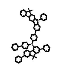 CC1(C)c2ccccc2-c2cc3c4cc(-c5ccc(N(c6ccc(-c7ccccc7)cc6)c6cc(-c7ccccc7)cc7c6-c6ccc(-c8ccccc8)cc6C7(C)C)cc5)ccc4n(-c4ccccc4)c3cc21